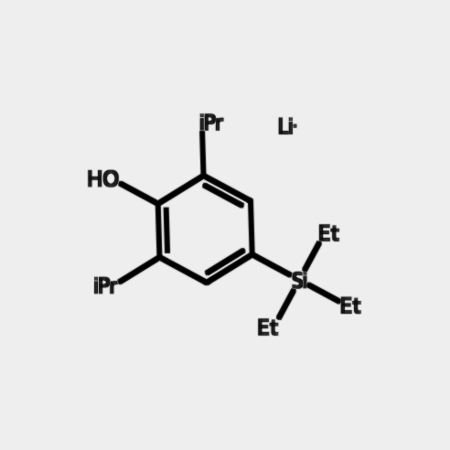 CC[Si](CC)(CC)c1cc(C(C)C)c(O)c(C(C)C)c1.[Li]